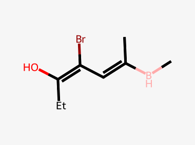 CB/C(C)=C/C(Br)=C(/O)CC